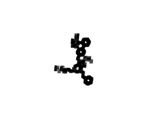 COCCN1Cc2c(nc(C)n2Cc2ccc(-c3ccccc3-c3nnn[nH]3)cc2)N(CCc2ccccc2)C1